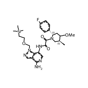 COC1C[C@@H](c2ccc(F)cc2)N(C(=O)C(=O)Nc2cnc(N)c3cnn(COCC[Si](C)(C)C)c23)C[C@@H]1C